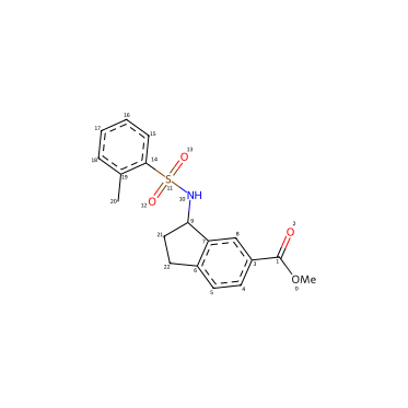 COC(=O)c1ccc2c(c1)C(NS(=O)(=O)c1ccccc1C)CC2